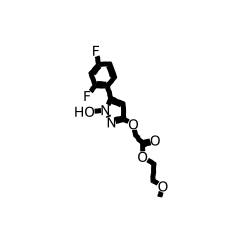 COCCOC(=O)COc1cc(-c2ccc(F)cc2F)n(O)n1